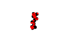 c1ccc(-c2ccccc2N(c2ccccc2)c2ccc3c(c2)c2cccc4c5cc6c(cc5n3c24)c2cccc3c4cc(N(c5ccccc5)c5ccccc5-c5ccccc5)ccc4n6c32)cc1